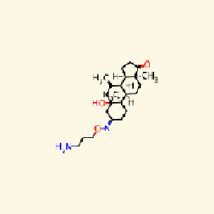 C=C1CC2(O)CC(=NOCCCN)CC[C@]2(C)[C@@H]2CC[C@]3(C)C(=O)CC[C@H]3[C@H]12